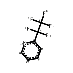 FC(F)(F)C(F)(F)c1c[c]ccn1